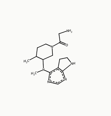 CC1CCN(C(=O)CN)CC1N(C)c1ncnc2c1CCN2